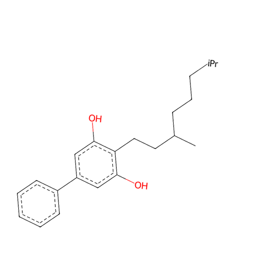 CC(C)CCCC(C)CCc1c(O)cc(-c2ccccc2)cc1O